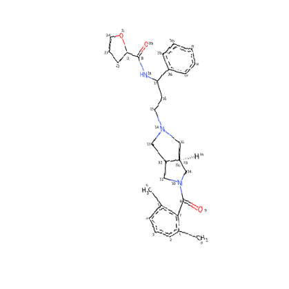 Cc1cccc(C)c1C(=O)N1CC2CN(CCC(NC(=O)C3CCCO3)c3ccccc3)C[C@H]2C1